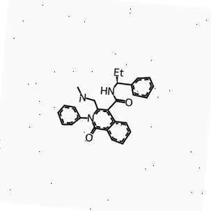 CC[C@H](NC(=O)c1c(CN(C)C)n(-c2ccccc2)c(=O)c2ccccc12)c1ccccc1